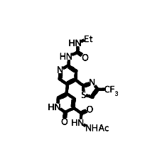 CCNC(=O)Nc1cc(-c2nc(C(F)(F)F)cs2)c(-c2c[nH]c(=O)c(C(=O)NNC(C)=O)c2)cn1